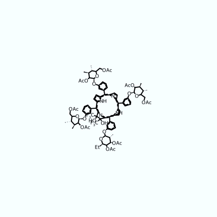 CC[C@H]1OC(Oc2cccc(-c3c4nc(c(-c5cccc(O[C@@H]6OC(COC(C)=O)[C@@H](C)[C@H](C)C6OC(C)=O)c5)c5ccc([nH]5)c(-c5cccc(O[C@@H]6OC(COC(C)=O)[C@@H](C)[C@H](C)C6OC(C)=O)c5)c5nc(c(-c6cccc(O[C@@H]7OC(COC(C)=O)[C@@H](C)[C@H](C)C7OC(C)=O)c6)c6ccc3[nH]6)C=C5)C(O)(C(F)(F)F)C4(O)C(F)(F)F)c2)[C@H](C)[C@H](OC(C)=O)C1OC(C)=O